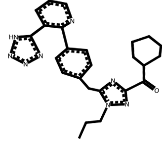 CCCn1nc(C(=O)C2CCCCC2)nc1Cc1ccc(-c2ncccc2-c2nnn[nH]2)cc1